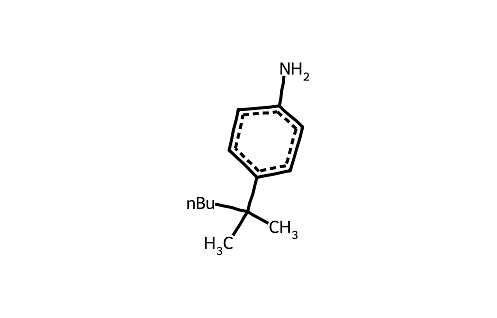 CCCCC(C)(C)c1ccc(N)cc1